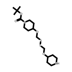 CC(C)(C)OC(=O)N1CCC(OCSSCOC2CCNCC2)CC1